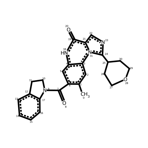 Cc1cc2c(cc1C(=O)N1CCc3ccccc31)[nH]c(=O)c1cnc(C3CCOCC3)n12